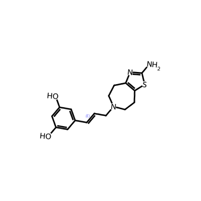 Nc1nc2c(s1)CCN(C/C=C/c1cc(O)cc(O)c1)CC2